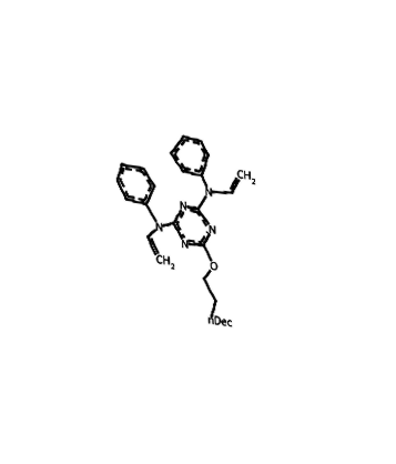 C=CN(c1ccccc1)c1nc(OCCCCCCCCCCCC)nc(N(C=C)c2ccccc2)n1